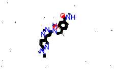 CCN(C)c1ccc(-c2cc(NC[C@@H](C)c3ccc(C(=O)NC)cc3OC)ncn2)cn1